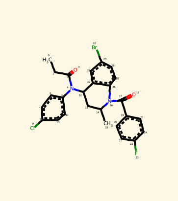 CCC(=O)N(c1ccc(Cl)cc1)C1CC(C)N(C(=O)c2ccc(F)cc2)c2ccc(Br)cc21